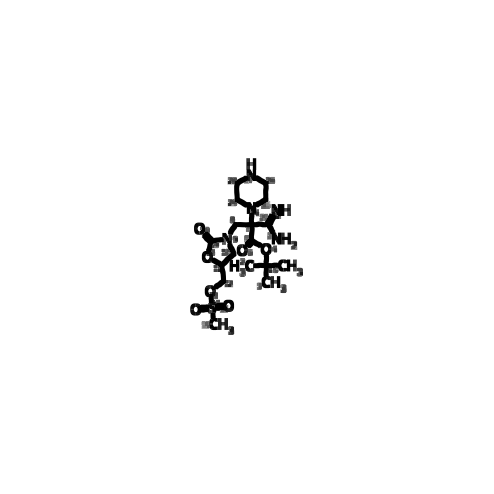 CC(C)(C)OC(=O)C(CN1CC(COS(C)(=O)=O)OC1=O)(C(=N)N)N1CCNCC1